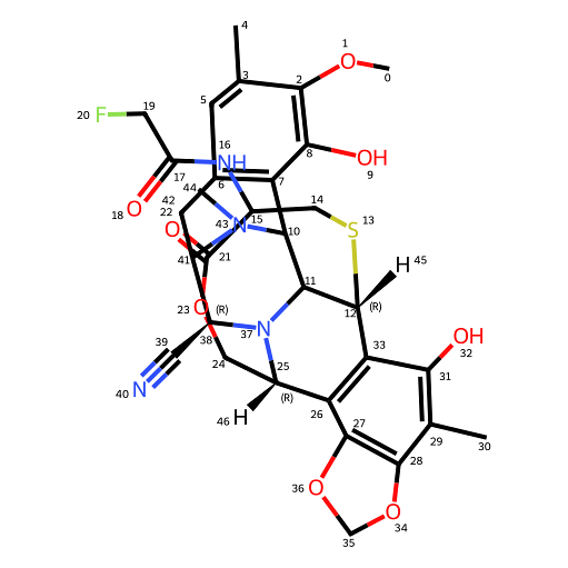 COc1c(C)cc2c(c1O)C1C3[C@@H]4SCC(NC(=O)CF)C(=O)OC[C@@H](c5c6c(c(C)c(O)c54)OCO6)N3[C@@H](C#N)C(C2)N1C